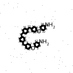 Nc1ccc(Oc2ccc(Cc3ccc(Cc4ccc(Cc5ccc(Oc6ccc(N)cc6)cc5)cc4)cc3)cc2)cc1